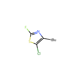 CC(C)(C)c1nc(F)sc1Cl